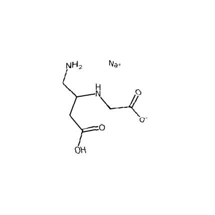 NCC(CC(=O)O)NCC(=O)[O-].[Na+]